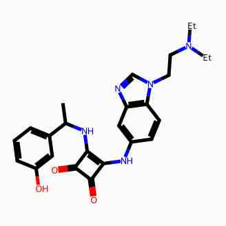 CCN(CC)CCn1cnc2cc(Nc3c(NC(C)c4cccc(O)c4)c(=O)c3=O)ccc21